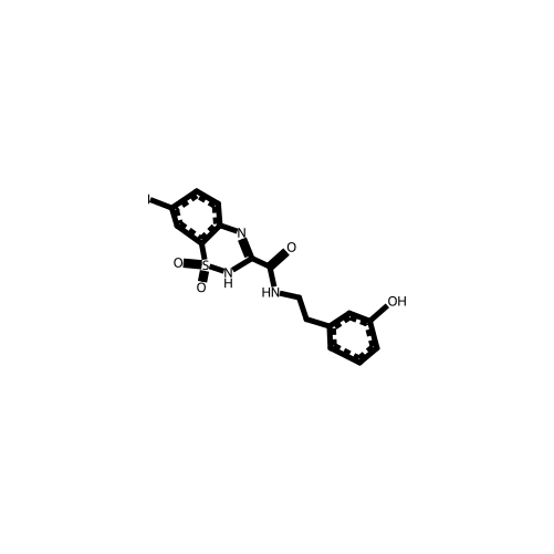 O=C(NCCc1cccc(O)c1)C1=Nc2ccc(I)cc2S(=O)(=O)N1